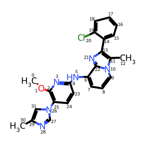 COc1nc(Nc2cccn3c(C)c(-c4ccccc4Cl)nc23)ccc1-n1cnc(C)c1